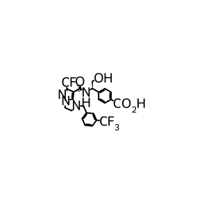 O=C(O)c1ccc([C@H](CO)NC(=O)c2c(C(F)(F)F)nn3c2N(Cc2cccc(C(F)(F)F)c2)CC3)cc1